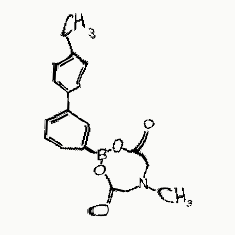 Cc1ccc(-c2cccc(B3OC(=O)CN(C)CC(=O)O3)c2)cc1